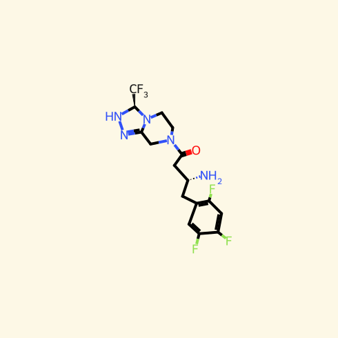 N[C@@H](CC(=O)N1CCN2C(=NN[C@H]2C(F)(F)F)C1)Cc1cc(F)c(F)cc1F